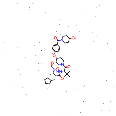 CC(C)(C)[C@H](NC(=O)[C@H](CC1CCCC1)CN(O)C=O)C(=O)N1CCC(Oc2ccc(C(=O)N3CCC(O)CC3)cc2)CC1